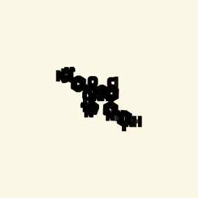 C[C@H]1CN(c2cc(-c3ccc(Cl)c(CC(NC(=O)c4ccnn4C)C(=O)Nc4ccc(-c5cncn5C)cc4)c3)ccn2)CCN1